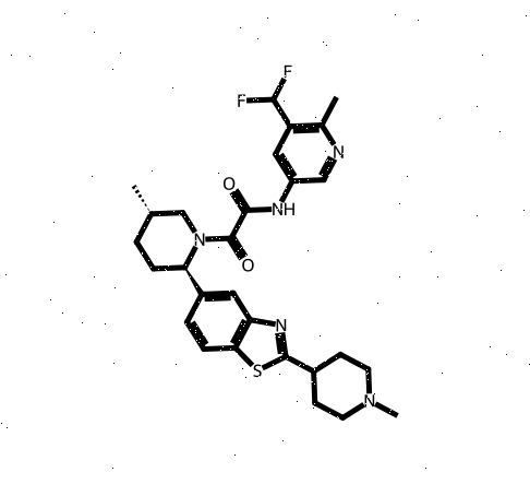 Cc1ncc(NC(=O)C(=O)N2C[C@@H](C)CC[C@@H]2c2ccc3sc(C4CCN(C)CC4)nc3c2)cc1C(F)F